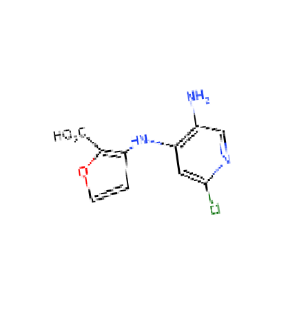 Nc1cnc(Cl)cc1Nc1ccoc1C(=O)O